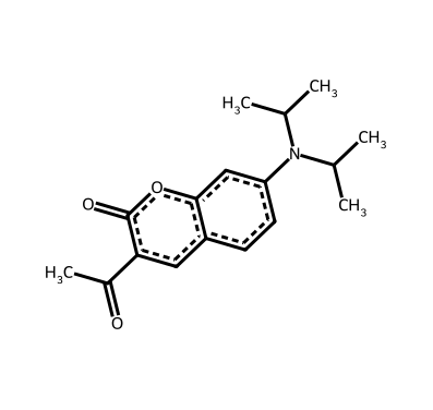 CC(=O)c1cc2ccc(N(C(C)C)C(C)C)cc2oc1=O